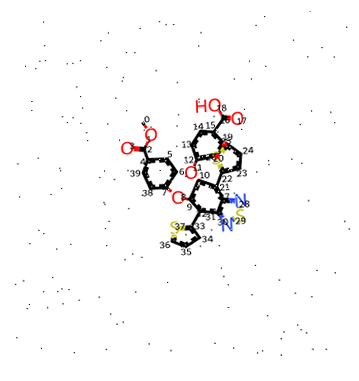 COC(=O)c1ccc(Oc2c(Oc3ccc(C(=O)O)cc3)c(-c3cccs3)c3nsnc3c2-c2cccs2)cc1